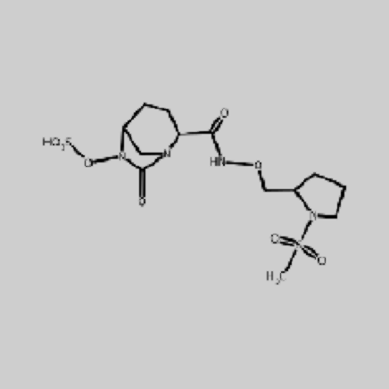 CS(=O)(=O)N1CCCC1CONC(=O)[C@@H]1CCC2CN1C(=O)N2OS(=O)(=O)O